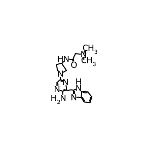 CN(C)CC(=O)NC1CCN(c2cnc(N)c(-c3nc4ccccc4[nH]3)n2)C1